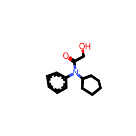 O=C(CO)N(c1ccccc1)C1CCCCC1